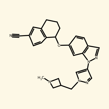 CN1CC(Cn2cc(-n3ncc4ccc(OC5CCCc6cc(C#N)ccc65)cc43)cn2)C1